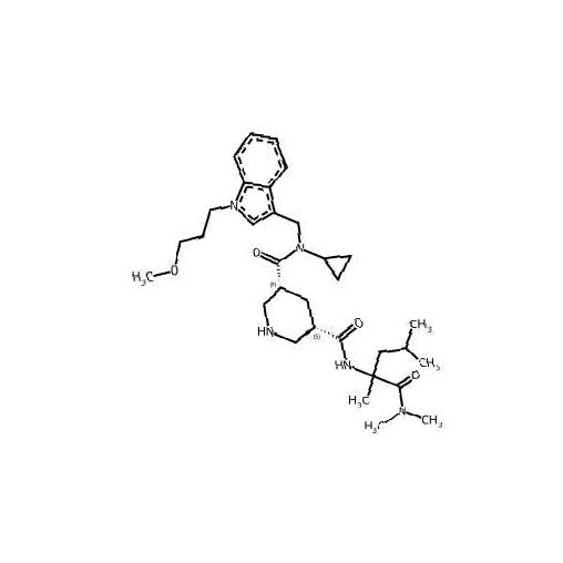 COCCCn1cc(CN(C(=O)[C@H]2CNC[C@@H](C(=O)NC(C)(CC(C)C)C(=O)N(C)C)C2)C2CC2)c2ccccc21